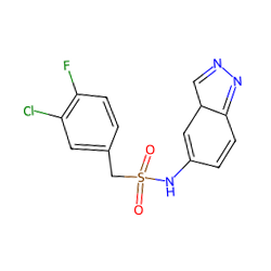 O=S(=O)(Cc1ccc(F)c(Cl)c1)NC1=CC2C=NN=C2C=C1